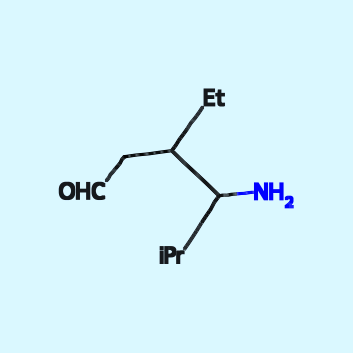 CCC(CC=O)C(N)C(C)C